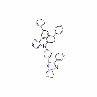 c1ccc(-c2ccc(N(c3ccc(-c4nc5ccccc5nc4-c4ccccc4)cc3)c3ccccc3-c3cccc(-c4ccccc4)c3)cc2)cc1